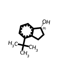 CC(C)(C)c1cccc2c1CC[C@H]2O